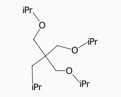 CC(C)CC(COC(C)C)(COC(C)C)COC(C)C